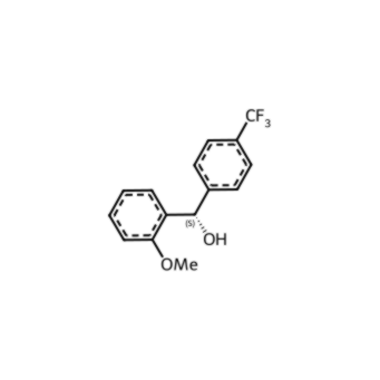 COc1ccccc1[C@@H](O)c1ccc(C(F)(F)F)cc1